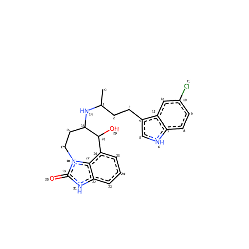 CC(CCc1c[nH]c2ccc(Cl)cc12)NC1CCn2c(=O)[nH]c3cccc(c32)C1O